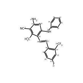 Cc1c(C#N)c(N)nc(Nc2ccccc2)c1/N=N/c1ccc(F)cc1C(F)(F)F